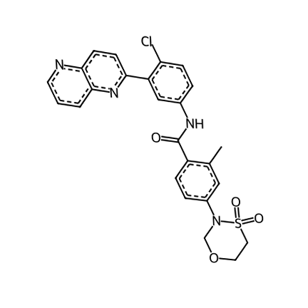 Cc1cc(N2COCCS2(=O)=O)ccc1C(=O)Nc1ccc(Cl)c(-c2ccc3ncccc3n2)c1